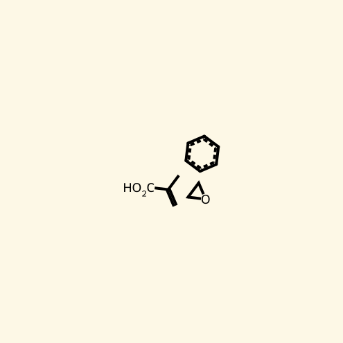 C1CO1.C=C(C)C(=O)O.c1ccccc1